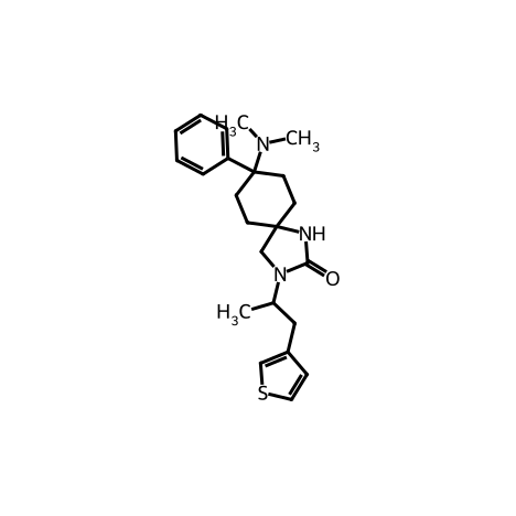 CC(Cc1ccsc1)N1CC2(CCC(c3ccccc3)(N(C)C)CC2)NC1=O